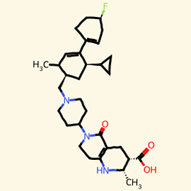 CC1C=C(C2=CC[C@H](F)CC2)[C@@H](C2CC2)C[C@H]1CN1CCC(N2CCC3=C(C[C@H](C(=O)O)[C@H](C)N3)C2=O)CC1